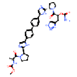 COC(=O)N[C@@H](C)C(=O)N1CCCC1c1ncc(-c2ccc(-c3ccc(-c4cnc([C@@H]5CCCN5C(=O)[C@H](Cc5c[nH]nn5)OC(N)=O)[nH]4)cc3)cc2)[nH]1